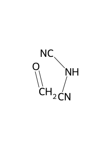 C=O.N#CNC#N